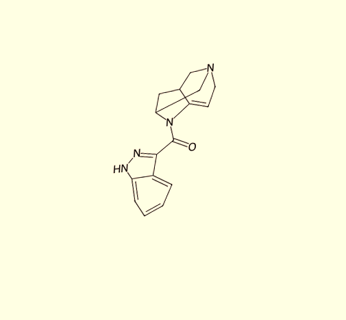 O=C(c1n[nH]c2ccccc12)N1C2=CCN3CC2CC1C3